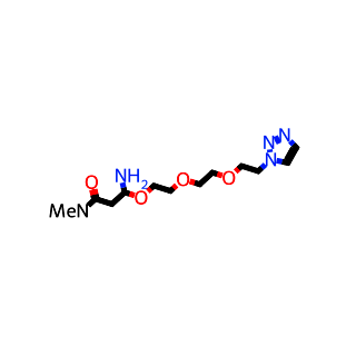 CNC(=O)CC(N)OCCOCCOCCn1ccnn1